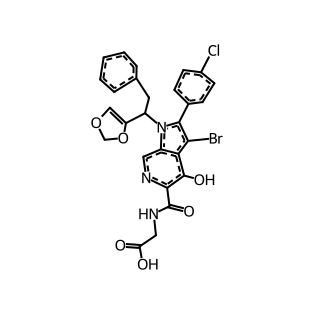 O=C(O)CNC(=O)c1ncc2c(c1O)c(Br)c(-c1ccc(Cl)cc1)n2C(Cc1ccccc1)C1=COCO1